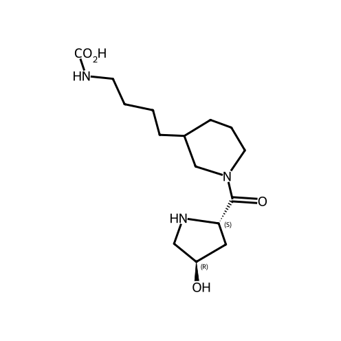 O=C(O)NCCCCC1CCCN(C(=O)[C@@H]2C[C@@H](O)CN2)C1